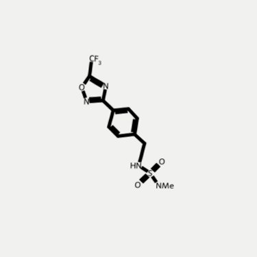 CNS(=O)(=O)NCc1ccc(-c2noc(C(F)(F)F)n2)cc1